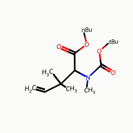 C=CC(C)(C)C(C(=O)OCCCC)N(C)C(=O)OC(C)(C)C